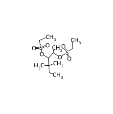 CCC(C)(C)C(OS(=O)(=O)CC)C(C)OS(=O)(=O)CC